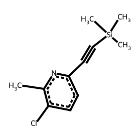 Cc1nc(C#C[Si](C)(C)C)ccc1Cl